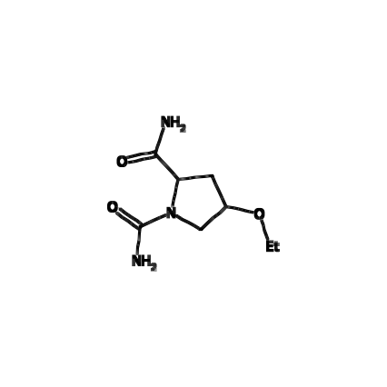 CCOC1CC(C(N)=O)N(C(N)=O)C1